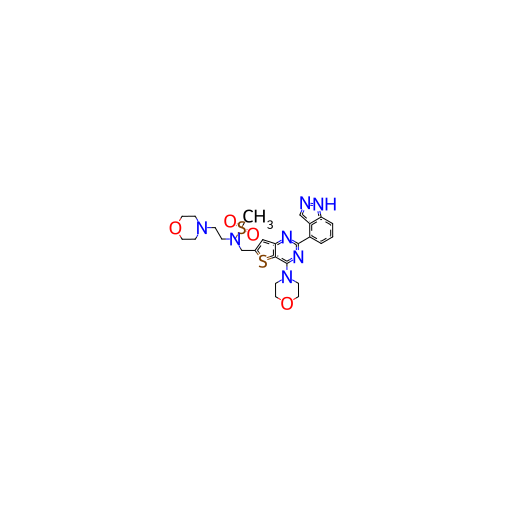 CS(=O)(=O)N(CCN1CCOCC1)Cc1cc2nc(-c3cccc4[nH]ncc34)nc(N3CCOCC3)c2s1